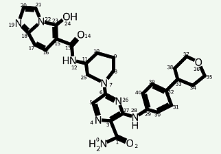 NC(=O)c1ncc(N2CCCC(NC(=O)c3ccc4nccn4c3O)C2)nc1Nc1ccc(C2CCOCC2)cc1